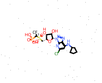 O=P(O)(O)C(C(F)(F)F)S(=O)(=O)C[C@H]1O[C@@H](n2nnc3c(NC4CCCC4)cc(Cl)nc32)[C@H](O)[C@@H]1O